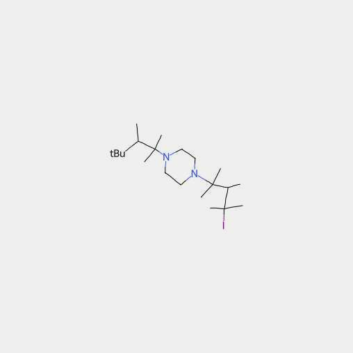 CC(C(C)(C)C)C(C)(C)N1CCN(C(C)(C)C(C)C(C)(C)I)CC1